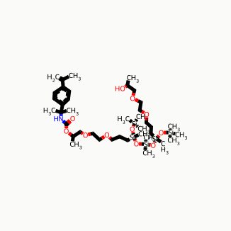 C=C(C)c1ccc(C(C)(C)NC(=O)OC(C)COCCOCCC[Si](C)(O[Si](C)(C)C)O[Si](C)(C)O[Si](C)(CCCOCCOCC(C)O)O[Si](C)(C)C)cc1